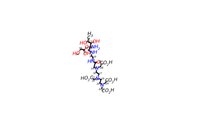 CC(O)C(O)C(N)(CNCCNC(=O)CN(CCN(CCN(CC(=O)O)CC(=O)O)CC(=O)O)CC(=O)O)OC(O)CO